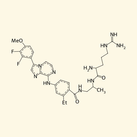 CCc1cc(Nc2nccn3c(-c4ccc(OC)c(F)c4F)cnc23)ccc1C(=O)NCC(C)NC(=O)C(N)CCCNC(=N)N